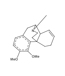 COc1ccc2c(c1OC)C13CCC=CC1C(C2)N(C)CC3